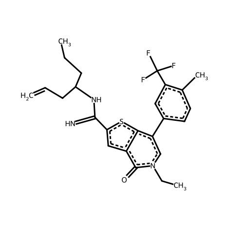 C=CCC(CCC)NC(=N)c1cc2c(=O)n(CC)cc(-c3ccc(C)c(C(F)(F)F)c3)c2s1